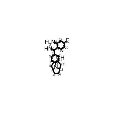 N=C(c1ccc(N2C3CCC(O)CC2CC3)cc1)c1ccc(F)cc1N